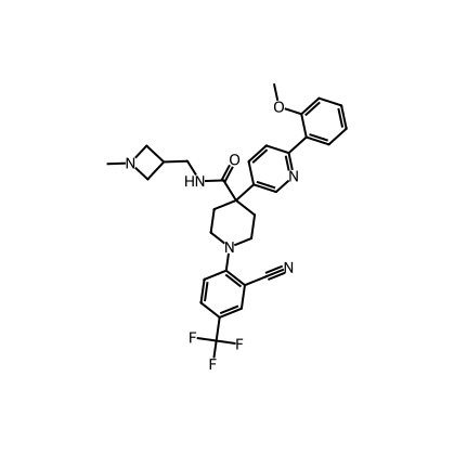 COc1ccccc1-c1ccc(C2(C(=O)NCC3CN(C)C3)CCN(c3ccc(C(F)(F)F)cc3C#N)CC2)cn1